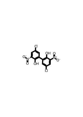 O=[N+]([O-])c1cc(Cl)cc(-c2cc(Cl)cc([N+](=O)[O-])c2O)c1O